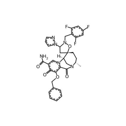 C[C@H]1CC[C@]2(CC(n3cccn3)N(Cc3c(F)cc(F)cc3F)O2)[C@H]2CN1C(=O)c1c(OCc3ccccc3)c(=O)c(C(N)=O)cn12